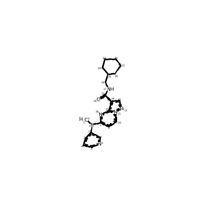 CN(c1cccnc1)c1ccn2ncc(C(=O)NCC3CCCCC3)c2n1